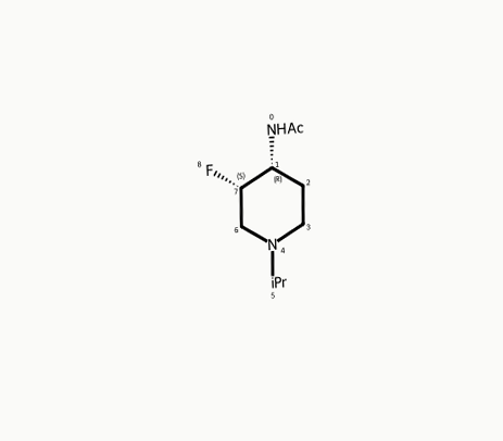 CC(=O)N[C@@H]1CCN(C(C)C)C[C@@H]1F